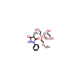 CCCCC1C(=O)NN(c2ccccc2)C1=O.CCCCOCCOCCO.CCOCC.OCCO